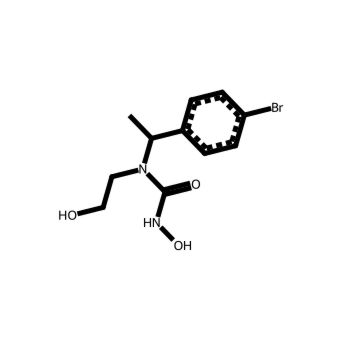 CC(c1ccc(Br)cc1)N(CCO)C(=O)NO